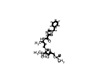 CC(CCn1nc(COS(C)=O)cc1N(C)C=O)NC(=O)c1ncn(Cc2ccccc2)n1